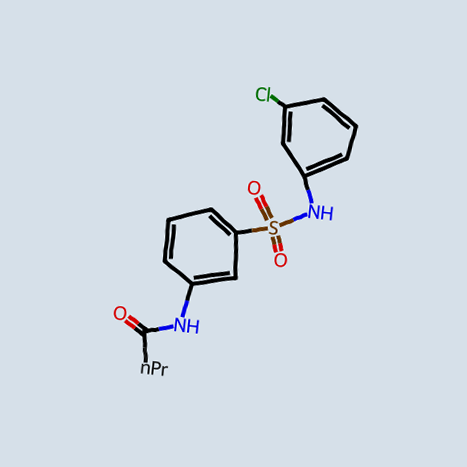 CCCC(=O)Nc1cccc(S(=O)(=O)Nc2cccc(Cl)c2)c1